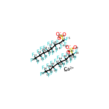 O=S(=O)([O-])C(F)(F)C(F)(F)C(F)(F)C(F)(F)C(F)(F)C(F)(F)C(F)(F)C(F)(F)F.O=S(=O)([O-])C(F)(F)C(F)(F)C(F)(F)C(F)(F)C(F)(F)C(F)(F)C(F)(F)C(F)(F)F.[Ca+2]